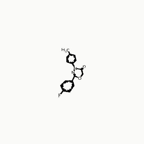 Cc1ccc(N2N=C(c3ccc(F)cc3)OCC2=O)cc1